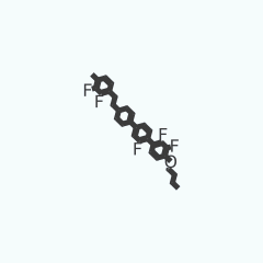 CCCCOc1ccc(-c2ccc(C3=CCC(CCc4ccc(C)c(F)c4F)CC3)cc2F)c(F)c1F